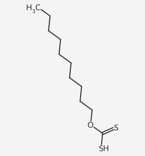 CCCCCCCCCCOC(=S)S